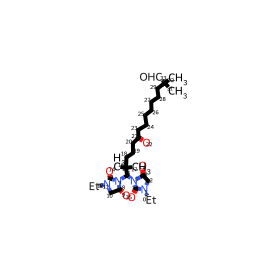 CCN1CC(=O)N(C(N2C(=O)CN(CC)C2=O)C(C)(C)CCCC(=O)CCCCCCCC(C)(C)C=O)C1=O